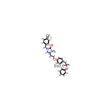 CCOC(=O)C(C)(Cc1ccc(OCCC2CN(Cc3ccc(C(F)(F)F)cc3)C(=O)N2C)cc1)Oc1ccccc1